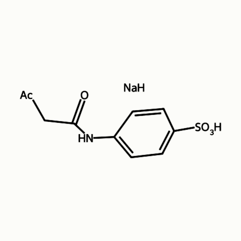 CC(=O)CC(=O)Nc1ccc(S(=O)(=O)O)cc1.[NaH]